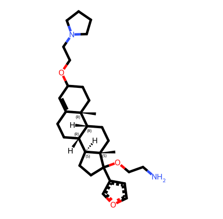 C[C@]12CCC(OCCN3CCCC3)C=C1CC[C@@H]1[C@H]2CC[C@@]2(C)[C@H]1CCC2(OCCN)c1ccoc1